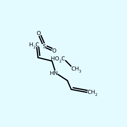 C=CCNCC=C.CC(=O)O.O=S=O